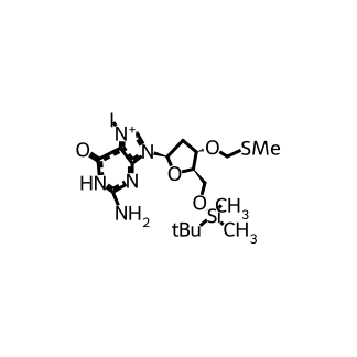 CSCO[C@H]1C[C@H](n2c[n+](I)c3c(=O)[nH]c(N)nc32)O[C@@H]1CO[Si](C)(C)C(C)(C)C